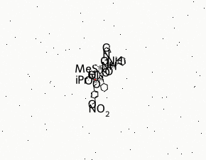 CSC[C@H](NC(=O)[C@H](Cc1ccccc1)NC(=O)N1CCOCC1)C(=O)N[C@@H](CC1CCCCC1)[C@H](OCc1ccc(CO[N+](=O)[O-])cc1)C(=O)OC(C)C